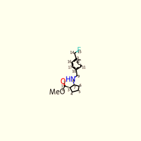 COC(=O)[C@@H]1CCC[C@@H]1NCc1ccc(CF)cc1